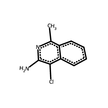 Cc1nc(N)c(Cl)c2ccccc12